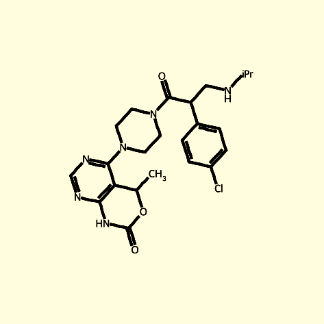 CC(C)NCC(C(=O)N1CCN(c2ncnc3c2C(C)OC(=O)N3)CC1)c1ccc(Cl)cc1